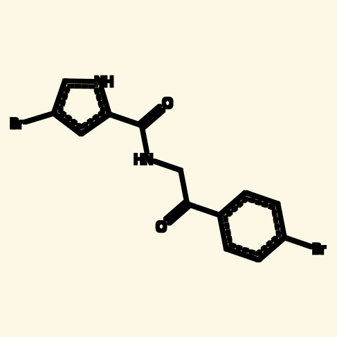 O=C(CNC(=O)c1cc(Br)c[nH]1)c1ccc(Br)cc1